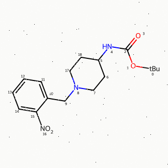 CC(C)(C)OC(=O)NC1CCN(Cc2ccccc2[N+](=O)[O-])CC1